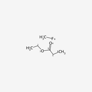 CCOC(=O)CC.CF